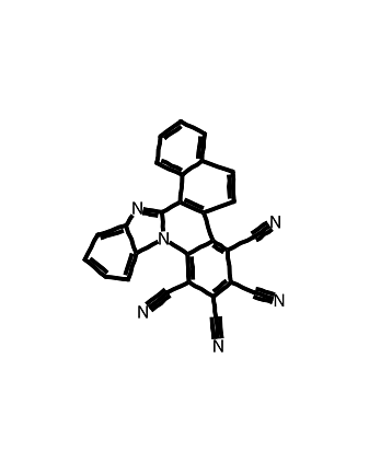 N#Cc1c(C#N)c(C#N)c2c(c1C#N)c1ccc3ccccc3c1c1nc3ccccc3n12